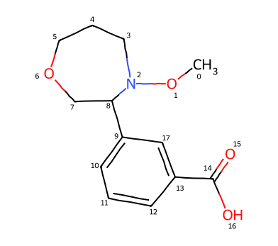 CON1CCCOCC1c1cccc(C(=O)O)c1